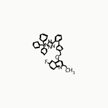 CCc1cc(OCc2ccc(-c3ccccc3-c3nnn(C(c4ccccc4)(c4ccccc4)c4ccccc4)n3)cc2)c2cc(F)ccc2n1